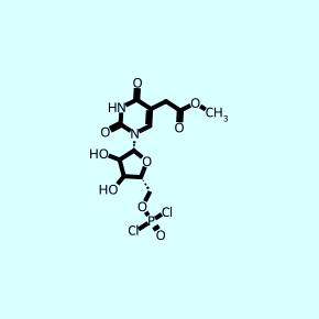 COC(=O)Cc1cn([C@@H]2O[C@H](COP(=O)(Cl)Cl)C(O)C2O)c(=O)[nH]c1=O